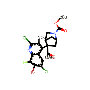 COC(=O)C1(c2c([N+](=O)[O-])c(Cl)nc3c(F)c(Br)c(Cl)cc23)CC2CC1CN2C(=O)OC(C)(C)C